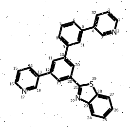 c1cncc(-c2cccc(-c3cc(-c4cccnc4)cc(-c4nc5ccccc5s4)c3)c2)c1